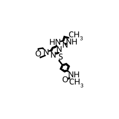 CC(=O)Nc1ccc(CSc2nc(Nc3cc(C)[nH]n3)cc(N3CCOCC3)n2)cc1